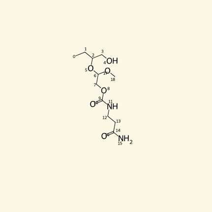 CCC(CO)OC(COC(=O)NCCC(N)=O)OC